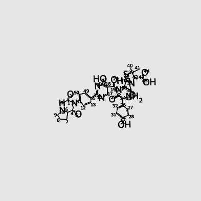 CC(=O)N(C(=O)C1CCCN1)c1ccc(-c2ncc(C(=O)N(C(=O)C(N)c3ccc(O)cc3)[C@@H]3C(=O)N4[C@@H]3SC(C)(C)[C@@H]4C(=O)O)c(O)n2)cc1